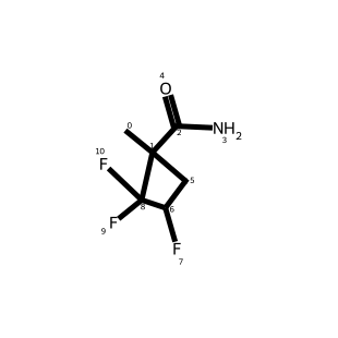 CC1(C(N)=O)CC(F)C1(F)F